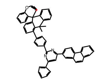 CC1(C)c2ccccc2C2(c3ccccc3Oc3ccccc32)c2cccc(-c3ccc(-c4nc(-c5ccccc5)cc(-c5ccc6c(ccc7ccccc76)c5)n4)cc3)c21